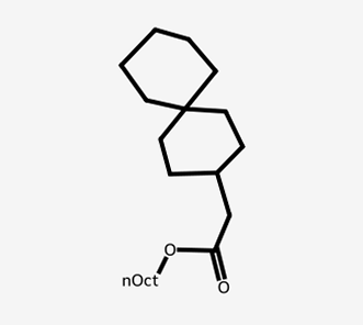 CCCCCCCCOC(=O)CC1CCC2(CCCCC2)CC1